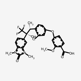 COc1cc(Oc2ccc([C@@H](C)[C@@](O)(c3ccc4c(c3)n(C)c(=O)n4C)C(F)(F)F)c(Cl)c2)ccc1C(=O)O